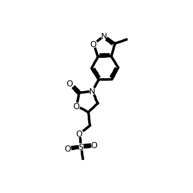 Cc1noc2cc(N3CC(COS(C)(=O)=O)OC3=O)ccc12